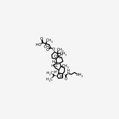 C=C(C)[C@@H]1CC[C@]2(C(=O)NCCN)CC[C@]3(C)[C@H](CC[C@@H]4[C@@]5(C)CC[C@H](OC(=O)CC(C)(C)C(=O)O)C(C)(C)[C@@H]5CC[C@]43C)[C@@H]12